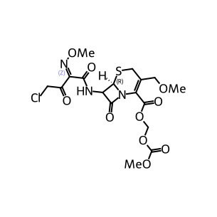 COCC1=C(C(=O)OCOC(=O)OC)N2C(=O)C(NC(=O)/C(=N\OC)C(=O)CCl)[C@H]2SC1